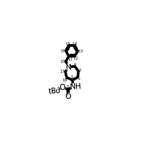 CC(C)(C)OC(=O)NC1CCCN(Cc2ccccc2)CC1